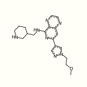 COCCn1cc(-c2cc3nccnc3c(NCC3CCCNC3)n2)cn1